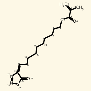 C=C(C)C(=O)OCCCCCCCCCC=C1N=NSC1=O